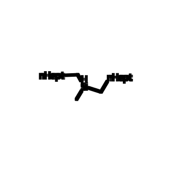 CCCCCCCC[SiH](C)CCCCCCCC